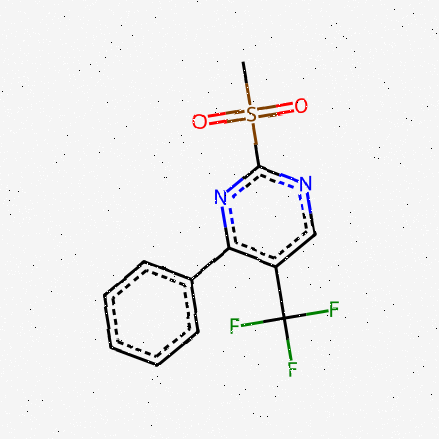 CS(=O)(=O)c1ncc(C(F)(F)F)c(-c2ccccc2)n1